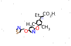 CC/C(=C\C(=O)O)c1cc(C)c(Oc2ccc(OCc3cscn3)cn2)c(C)c1